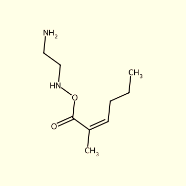 CCCC=C(C)C(=O)ONCCN